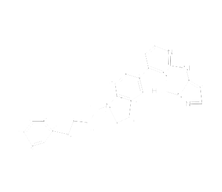 Cn1nccc1Nc1nccc(-c2ccc3c(c2)CCN3SOCCc2ccccc2)n1